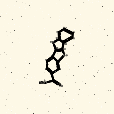 CCCCCCCCCC(=O)c1ccc2c(c1)sc1c3ccccc3sc21